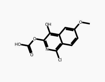 COc1ccc2c(Cl)nc(OC(=O)O)c(O)c2c1